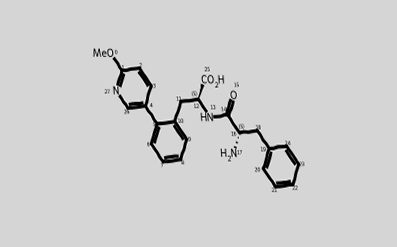 COc1ccc(-c2ccccc2C[C@H](NC(=O)[C@@H](N)Cc2ccccc2)C(=O)O)cn1